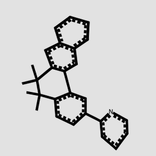 CC1(C)c2ccc(-c3ccccn3)cc2-c2cc3ccccc3cc2C1(C)C